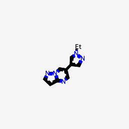 CCn1cc(-c2cnc3ccnn3c2)cn1